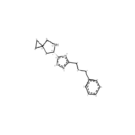 c1ccc(CCCc2noc([C@@H]3CC4(CC4)CN3)n2)cc1